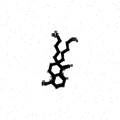 CCCCCC1(CCCCC)CCc2c(O)cccc2C1=O